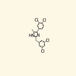 Cc1[nH]c(Cc2cc(Cl)cc(Cl)c2)nc1-c1ccc(Cl)c(Cl)c1